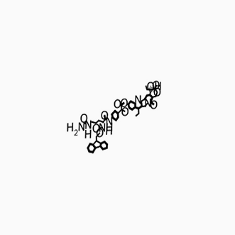 CCc1c2c(nc3ccc(OC(C(=O)OC)c4ccc(NC(=O)C(CCCNC(N)=O)NC(=O)OCC5c6ccccc6-c6ccccc65)cc4)cc13)-c1cc3c(c(=O)n1C2)COC(=O)[C@]3(O)CC